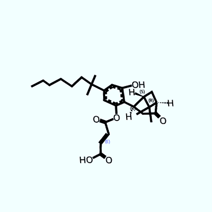 CCCCCCC(C)(C)c1cc(O)c([C@@H]2CC(=O)[C@@H]3C[C@@H]2C3(C)C)c(OC(=O)/C=C/C(=O)O)c1